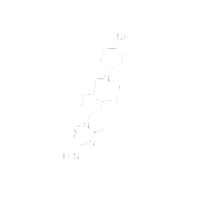 CCN(Cc1ccc(-n2ccc(N)nc2=O)cc1Cl)C1CCC(N)CC1